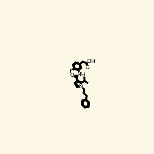 CC(C)c1c(C(=O)Nc2cc(CC(=O)O)ccc2F)ccn1CCCc1ccccc1